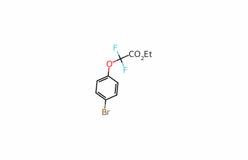 CCOC(=O)C(F)(F)Oc1ccc(Br)cc1